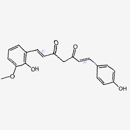 COc1cccc(/C=C/C(=O)CC(=O)/C=C/c2ccc(O)cc2)c1O